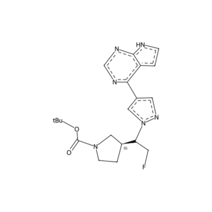 CC(C)(C)OC(=O)N1CC[C@H](C(CF)n2cc(-c3ncnc4[nH]ccc34)cn2)C1